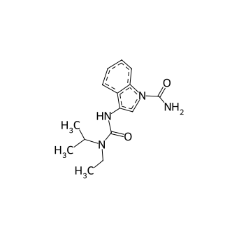 CCN(C(=O)Nc1cn(C(N)=O)c2ccccc12)C(C)C